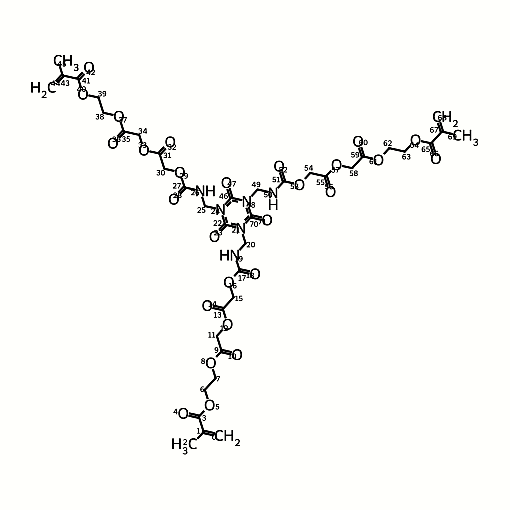 C=C(C)C(=O)OCCOC(=O)COC(=O)COC(=O)NCn1c(=O)n(CNC(=O)OCC(=O)OCC(=O)OCCOC(=O)C(=C)C)c(=O)n(CNC(=O)OCC(=O)OCC(=O)OCCOC(=O)C(=C)C)c1=O